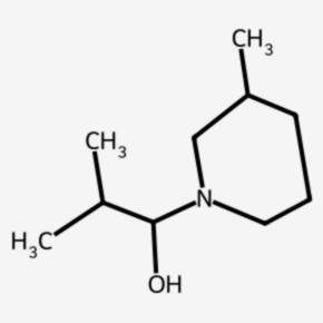 CC1CCCN(C(O)C(C)C)C1